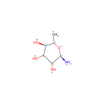 CC1O[C@@H](N)C(O)C(O)[C@H]1O